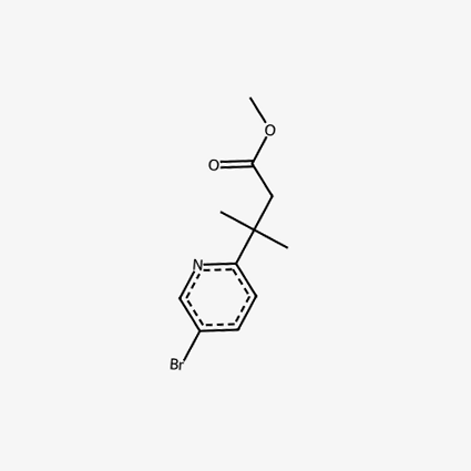 COC(=O)CC(C)(C)c1ccc(Br)cn1